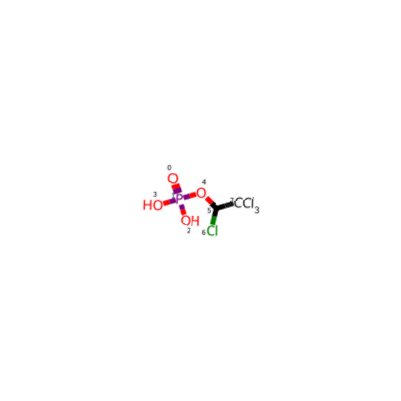 O=P(O)(O)OC(Cl)C(Cl)(Cl)Cl